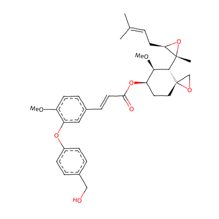 COc1ccc(/C=C/C(=O)O[C@@H]2CC[C@]3(CO3)[C@@H]([C@@]3(C)O[C@@H]3CC=C(C)C)[C@@H]2OC)cc1Oc1ccc(CO)cc1